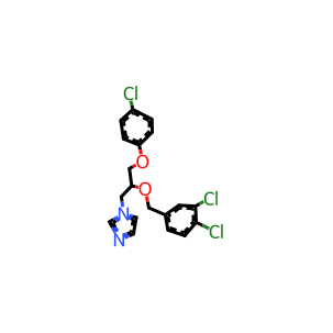 Clc1ccc(OCC(Cn2ccnc2)OCc2ccc(Cl)c(Cl)c2)cc1